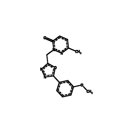 COc1cccc(-c2nnc(Cn3nc(C)ccc3=O)o2)c1